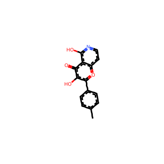 Cc1ccc(-c2oc3ccnc(O)c3c(=O)c2O)cc1